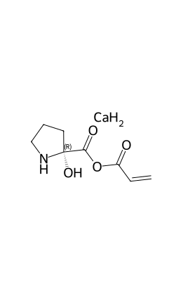 C=CC(=O)OC(=O)[C@]1(O)CCCN1.[CaH2]